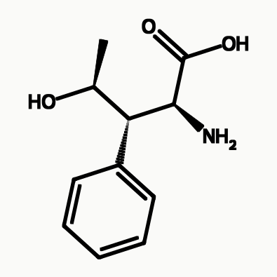 C[C@H](O)[C@@H](c1ccccc1)[C@H](N)C(=O)O